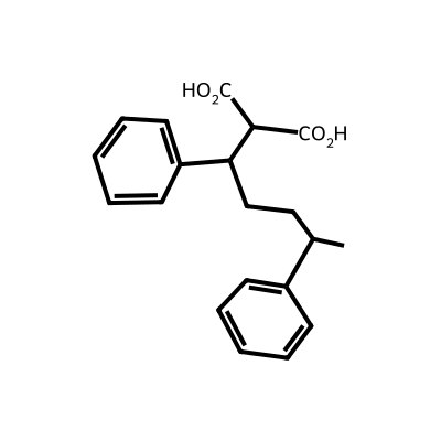 CC(CCC(c1ccccc1)C(C(=O)O)C(=O)O)c1ccccc1